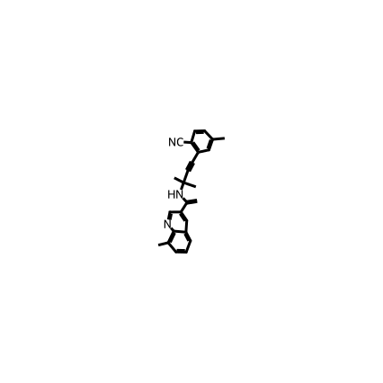 C=C(NC(C)(C)C#Cc1cc(C)ccc1C#N)c1cnc2c(C)cccc2c1